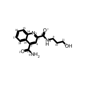 NC(=O)c1cc(C(=O)NCCCO)nc2ccccc12